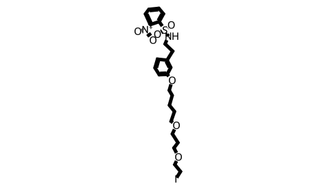 O=[N+]([O-])c1ccccc1S(=O)(=O)NCCc1cccc(OCCCCCOCCCOCCI)c1